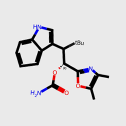 Cc1nc([C@H](OC(N)=O)C(c2c[nH]c3ccccc23)C(C)(C)C)oc1C